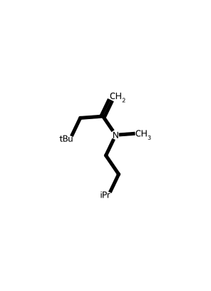 C=C(CC(C)(C)C)N(C)CCC(C)C